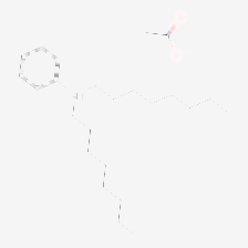 CC(=O)[O-].CCCCCCC[CH2][Sn+]([CH2]CCCCCCC)[c]1ccccc1